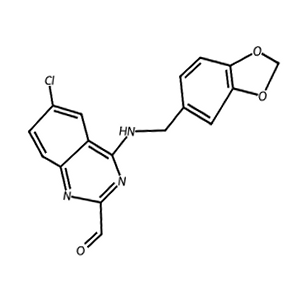 O=Cc1nc(NCc2ccc3c(c2)OCO3)c2cc(Cl)ccc2n1